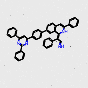 N=C/C(=C1\NC(c2ccccc2)=Cc2ccc(-c3ccc(-c4cc(-c5ccccc5)nc(-c5ccccc5)n4)cc3)cc21)c1ccccc1